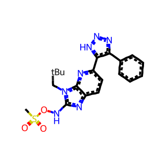 CC(C)(C)Cn1c(NOS(C)(=O)=O)nc2ccc(-c3[nH]nnc3-c3ccccc3)nc21